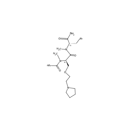 CCCC(=O)N(C)[C@H](COCCN1CCCC1)C(=O)N(C)[C@@H](CC(C)C)C(N)=O